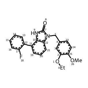 CCOc1cc(Cn2c(=O)[nH]c3c(-c4ccccc4F)cccc32)ccc1OC